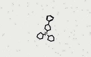 c1ccc(C2CCC(P(C3CCCCC3)C3CCCCC3)CC2)cc1